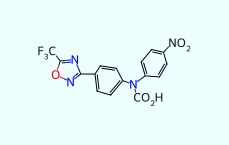 O=C(O)N(c1ccc(-c2noc(C(F)(F)F)n2)cc1)c1ccc([N+](=O)[O-])cc1